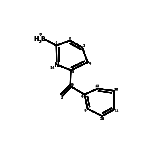 Bc1cccc(C(=C)c2ccccc2)n1